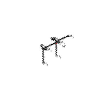 CCCCCCCCCCCCCCCC[P+](CCCC)(CCCC)CCCCCCCCCCCCCCCC.CCCCCCCCCCCCCCCC[P+](CCCC)(CCCC)CCCCCCCCCCCCCCCC.[H+].[O-]B([O-])[O-]